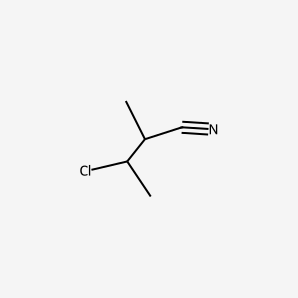 CC(Cl)C(C)C#N